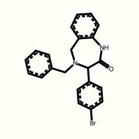 O=C1Nc2ccccc2CN(Cc2ccccc2)C1c1ccc(Br)cc1